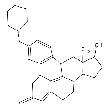 CC12CC(c3ccc(CN4CCCCC4)cc3)C3=C4CCC(=O)C=C4CCC3C1CCC2O